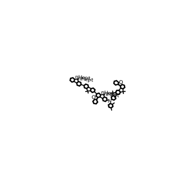 CCCCCCCC1(CCCCCCC)c2ccccc2-c2ccc(-c3ccc4c(c3)C(C)(C)c3cc(-c5cc6c(c7c5oc5ccccc57)-c5ccc(N(c7ccc8c(c7)C(C)(C)c7cc9c(cc7-8)C(C)(C)c7ccc8oc%10ccccc%10c8c7-9)c7ccc(C)cc7C)cc5C6(CCCCCCC)CCCCCCC)ccc3-4)cc21